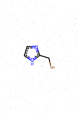 SCc1ncc[nH]1